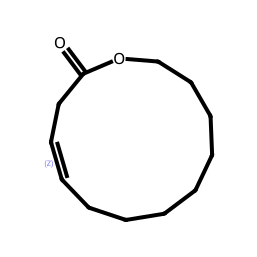 O=C1C/C=C\CCCCCCCCO1